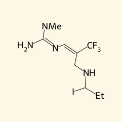 CCC(I)NC/C(=C\N=C(\N)NC)C(F)(F)F